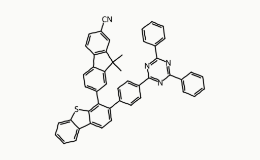 CC1(C)c2cc(C#N)ccc2-c2ccc(-c3c(-c4ccc(-c5nc(-c6ccccc6)nc(-c6ccccc6)n5)cc4)ccc4c3sc3ccccc34)cc21